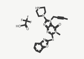 CC#CCn1c(N2CCNCC2)nc2nc(Sc3nc4ccccc4o3)n(C)c(=O)c21.O=C(O)C(F)(F)F